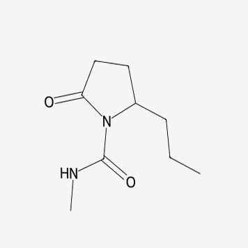 CCCC1CCC(=O)N1C(=O)NC